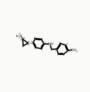 Cc1ccc(CNc2ccc([C@@H]3C[C@H]3N)cc2)cc1